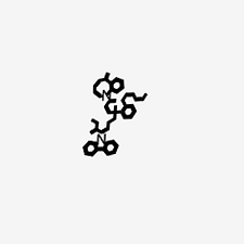 C=C(CC)/C(=C\CCC(C)(/C=C\C(=C)N1/C=C\C=C/C(=C)c2ccccc21)c1ccccc1C/C=C\C=C/C)n1c2ccccc2c2ccccc21